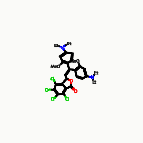 CCN(CC)c1ccc(C(=CC2OC(=O)c3c(Cl)c(Cl)c(Cl)c(Cl)c32)c2ccc(N(CC)CC)cc2OC)c(OC)c1